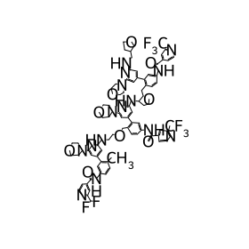 Cc1ccc(NC(=O)c2ccnc(C(F)F)c2)cc1-c1cc(NCCOCc2ccc(NC(=O)c3ccnc(C(F)(F)F)c3)cc2-c2cc(NC3CCOC3Cc3ccc(NC(=O)c4ccnc(C(F)(F)F)c4)cc3-c3cc(NCC4CCOC4)nc(N4CCOCC4)c3)nc(N3CCOCC3)c2)nc(N2CCOCC2)c1